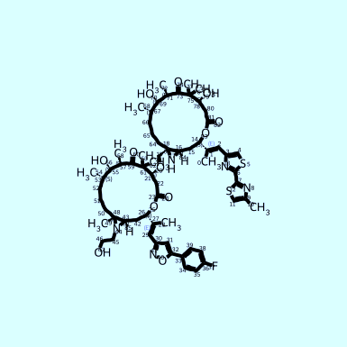 C/C(=C\c1csc(-c2nc(C)cs2)n1)[C@@H]1C[C@@H]2N[C@]2(CO[C@H]2CC(=O)O[C@H](/C(C)=C/c3cc(-c4ccc(F)cc4)on3)C[C@@H]3N(CCO)[C@]3(C)CCC[C@H](C)[C@H](O)[C@@H](C)C(=O)C2(C)C)CCC[C@H](C)[C@H](O)[C@@H](C)C(=O)C(C)(C)[C@@H](O)CC(=O)O1